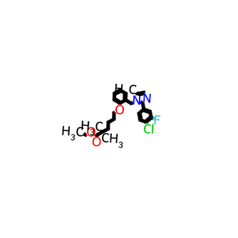 CCOC(=O)C(C)(C)CCCCOc1ccccc1Cn1c(C)cnc1-c1ccc(Cl)c(F)c1